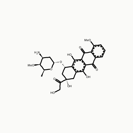 COc1cccc2c1C(=O)c1c(O)c3c(c(O)c1C2=O)C[C@@](O)(C(=O)CO)C[C@@H]3O[C@H]1C[C@H](N)[C@H](OC)[C@H](C)O1